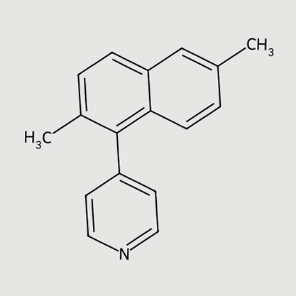 Cc1ccc2c(-c3ccncc3)c(C)ccc2c1